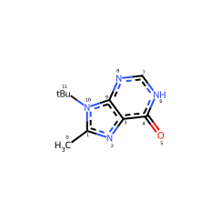 Cc1nc2c(=O)[nH]cnc2n1C(C)(C)C